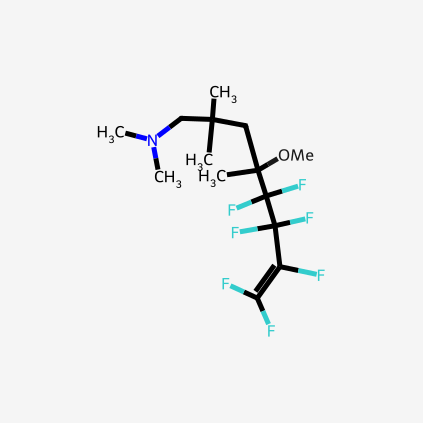 COC(C)(CC(C)(C)CN(C)C)C(F)(F)C(F)(F)C(F)=C(F)F